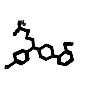 COc1ccccc1N1CCN(C(CCOC(N)=O)c2ccc(Cl)cc2)CC1